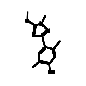 COc1cc(-c2cc(C)c(O)cc2C)nn1C